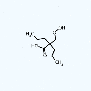 CCCC(CCC)(COO)C(=O)O